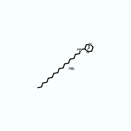 Br.CCCCCCCCCCCCCCCCNC1CN2CCN1CC2